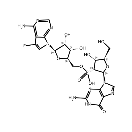 Nc1nc2c(ncn2[C@@H]2O[C@H](CO)[C@@H](O)[C@H]2P(=O)(O)OC[C@H]2O[C@@H](n3cc(F)c4c(N)ncnc43)[C@H](O)[C@@H]2O)c(=O)[nH]1